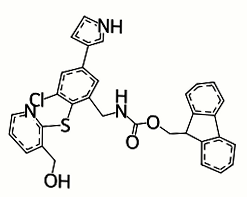 O=C(NCc1cc(-c2cc[nH]c2)cc(Cl)c1Sc1ncccc1CO)OCC1c2ccccc2-c2ccccc21